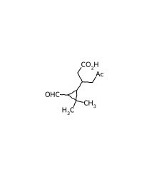 CC(=O)CC(CC(=O)O)C1C(C=O)C1(C)C